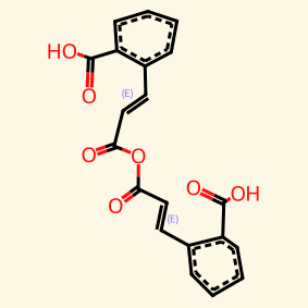 O=C(/C=C/c1ccccc1C(=O)O)OC(=O)/C=C/c1ccccc1C(=O)O